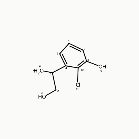 [CH2]C(CO)c1cccc(O)c1Cl